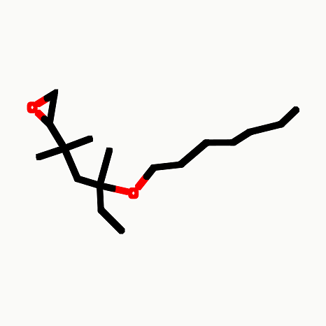 CCCCCCCOC(C)(CC)CC(C)(C)C1CO1